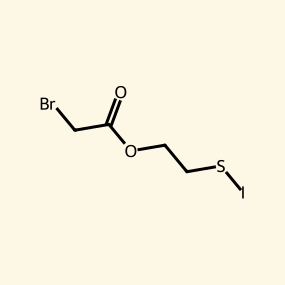 O=C(CBr)OCCSI